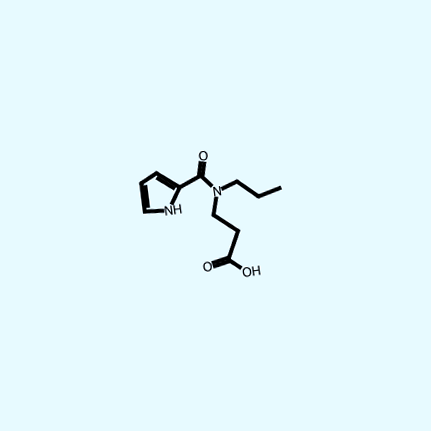 CCCN(CCC(=O)O)C(=O)c1ccc[nH]1